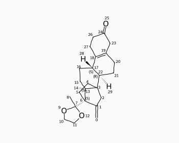 C=C1CC23CC[C@@]1(C1(C)OCCO1)[C@@]2(C)CC[C@@H]1C2=C(CC[C@H]13)CC(=O)CC2